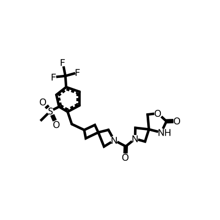 CS(=O)(=O)c1cc(C(F)(F)F)ccc1CC1CC2(C1)CN(C(=O)N1CC3(COC(=O)N3)C1)C2